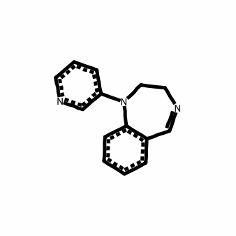 C1=NCCN(c2cccnc2)c2ccccc21